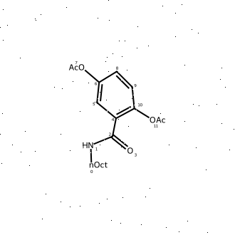 CCCCCCCCNC(=O)c1cc(OC(C)=O)ccc1OC(C)=O